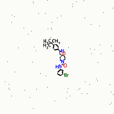 CC(C)(C)c1ccc(C2=NOC3(CCN(C(=O)Nc4cccc(Br)c4)CC3)C2)cc1